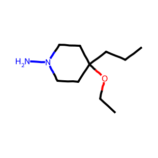 CCCC1(OCC)CCN(N)CC1